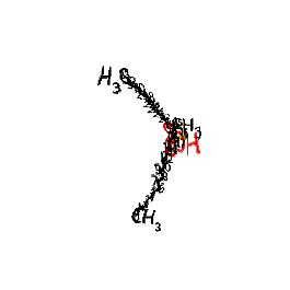 CCCCCCCCCCCCCCOCC(O)C(OCCCCCCCCCCCCCC)C(C)=S